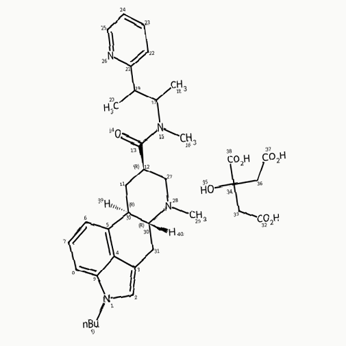 CCCCn1cc2c3c(cccc31)[C@H]1C[C@@H](C(=O)N(C)C(C)C(C)c3ccccn3)CN(C)[C@@H]1C2.O=C(O)CC(O)(CC(=O)O)C(=O)O